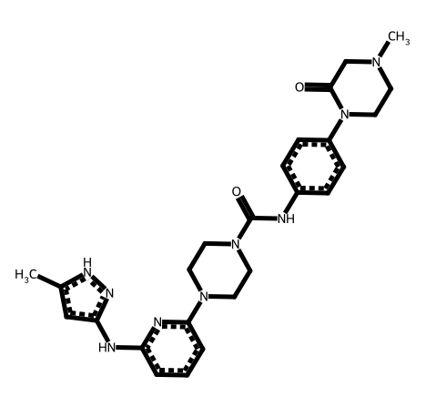 Cc1cc(Nc2cccc(N3CCN(C(=O)Nc4ccc(N5CCN(C)CC5=O)cc4)CC3)n2)n[nH]1